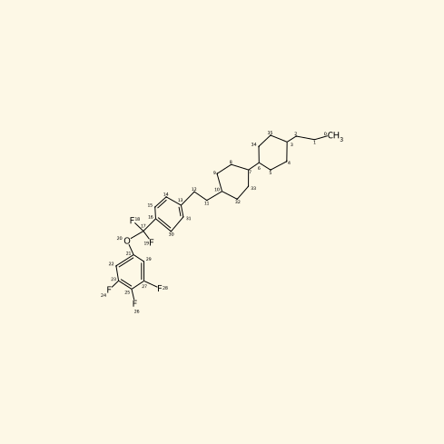 CCCC1CCC(C2CCC(CCc3ccc(C(F)(F)Oc4cc(F)c(F)c(F)c4)cc3)CC2)CC1